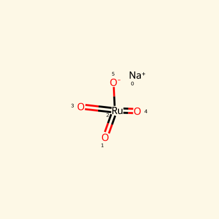 [Na+].[O]=[Ru](=[O])(=[O])[O-]